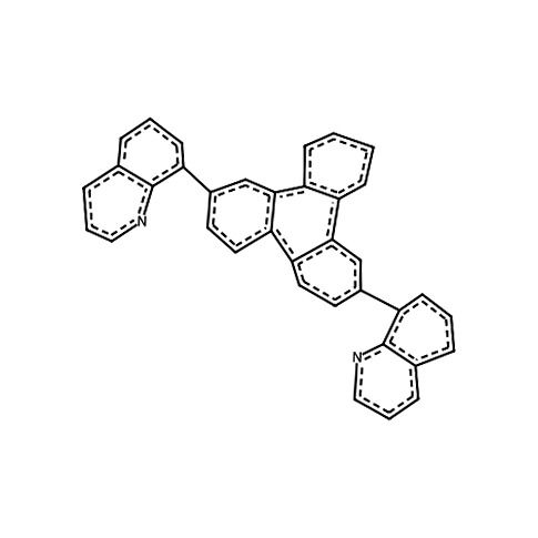 c1cnc2c(-c3ccc4c5ccc(-c6cccc7cccnc67)cc5c5ccccc5c4c3)cccc2c1